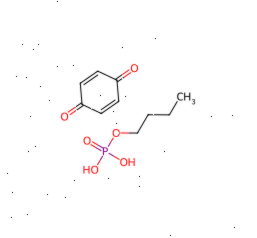 CCCCOP(=O)(O)O.O=C1C=CC(=O)C=C1